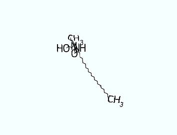 CCCCCCCCCCCCCCCCCCCCCC(=O)NN(CCC)CCO